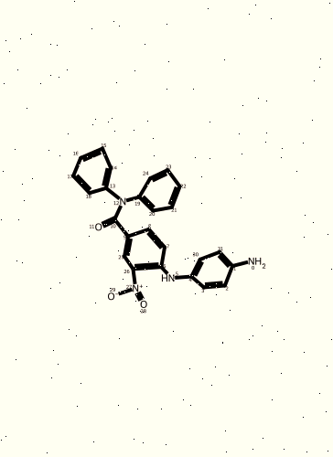 Nc1ccc(Nc2ccc(C(=O)N(c3ccccc3)c3ccccc3)cc2[N+](=O)[O-])cc1